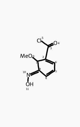 COC1C(C(=O)Cl)=CC=CC1=NO